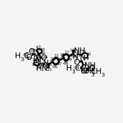 COC(=O)N[C@H](C(=O)N1CCCC1c1nc(-c2ccc(-c3ccc(-c4c[nH]c([C@@H]5CCCN5C(=O)C5(NC(=O)OC)CCCC5)n4)cc3)cc2)c[nH]1)C(C)C